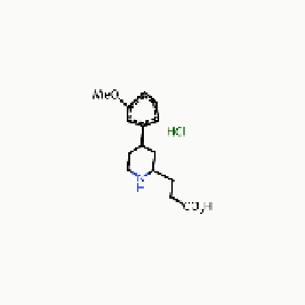 COc1cccc(C2CCNC(CCC(=O)O)C2)c1.Cl